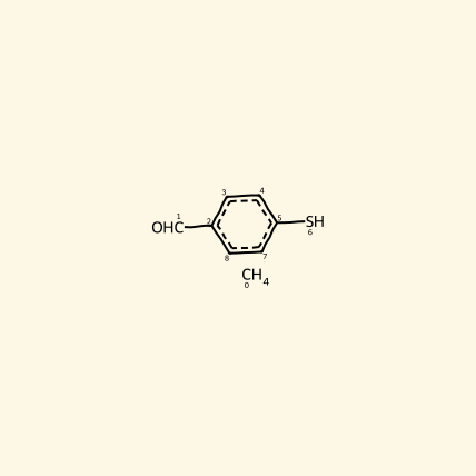 C.O=Cc1ccc(S)cc1